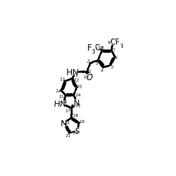 O=C(Cc1cccc(C(F)(F)F)c1C(F)(F)F)Nc1ccc2[nH]c(-c3cscn3)nc2c1